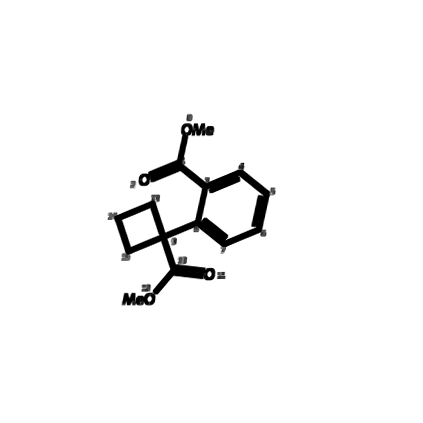 COC(=O)c1ccccc1C1(C(=O)OC)CCC1